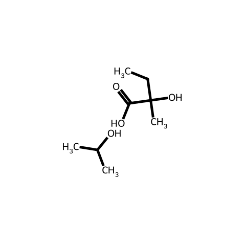 CC(C)O.CCC(C)(O)C(=O)O